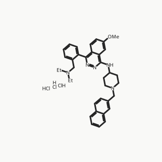 CCN(CC)Cc1ccccc1-c1nnc(NC2CCN(Cc3ccc4ccccc4c3)CC2)c2cc(OC)ccc12.Cl.Cl.Cl